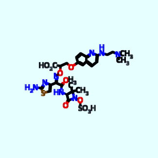 CN(C)CCNc1ccc2cc(OCC(O/N=C(\C(=O)N[C@@H]3C(=O)N(OS(=O)(=O)O)C3(C)C)c3csc(N)n3)C(=O)O)ccc2n1